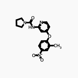 Cc1cc([N+](=O)[O-])ccc1Oc1ccnc(NC(=O)N2CCCC2)c1